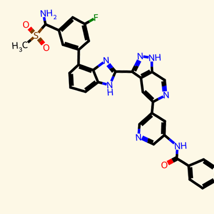 CS(=O)(=O)C(N)c1cc(F)cc(-c2cccc3[nH]c(-c4n[nH]c5cnc(-c6cncc(NC(=O)c7ccccc7)c6)cc45)nc23)c1